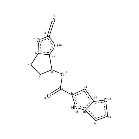 O=C(OC1CCc2oc(=O)oc21)c1cc2occc2[nH]1